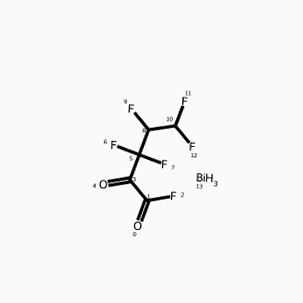 O=C(F)C(=O)C(F)(F)C(F)C(F)F.[BiH3]